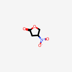 O=C1[CH]C([N+](=O)[O-])CO1